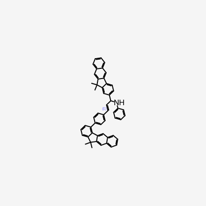 CC1(C)c2cc(C(/C=C/c3ccc(-c4cccc5c4-c4cc6ccccc6cc4C5(C)C)cc3)Nc3ccccc3)ccc2-c2cc3ccccc3cc21